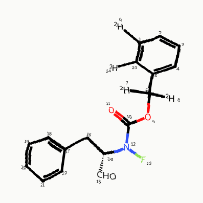 [2H]c1cccc(C([2H])([2H])OC(=O)N(F)[C@H](C=O)Cc2ccccc2)c1[2H]